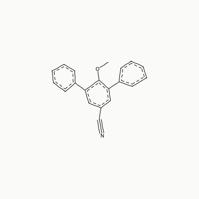 COc1c(-c2ccccc2)cc(C#N)cc1-c1ccccc1